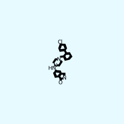 O=C1N=Cc2cc(NN3CCN(Cc4ccccc4-c4ccc(Cl)cc4)CC3)ccc21